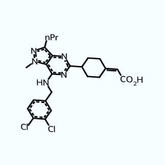 CCCc1nn(C)c2c(NCc3ccc(Cl)c(Cl)c3)nc(C3CCC(=CC(=O)O)CC3)nc12